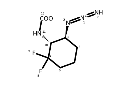 N=[N+]=N[C@H]1CCCC(F)(F)[C@@H]1NC(=O)[O-]